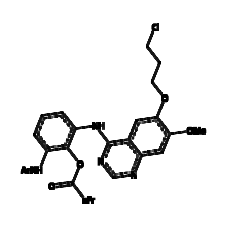 CCCC(=O)Oc1c(NC(C)=O)cccc1Nc1ncnc2cc(OC)c(OCCCCl)cc12